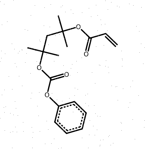 C=CC(=O)OC(C)(C)CC(C)(C)OC(=O)Oc1ccccc1